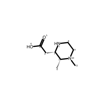 C[C@@H]1[C@H](CC(=O)O)NCCN1C